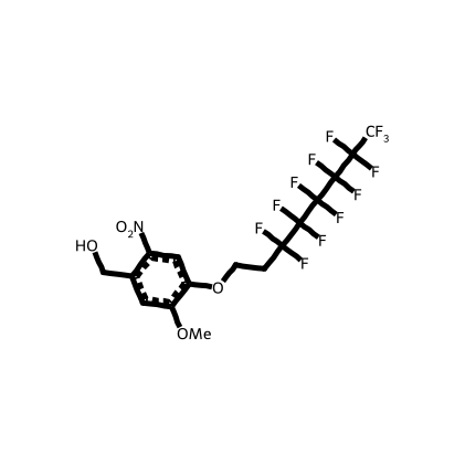 COc1cc(CO)c([N+](=O)[O-])cc1OCCC(F)(F)C(F)(F)C(F)(F)C(F)(F)C(F)(F)C(F)(F)F